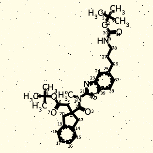 CN(C(=O)C1(CC(=O)OC(C)(C)C)Cc2ccccc2C1)c1nc2cc(CCCNC(=O)OC(C)(C)C)ccc2s1